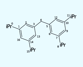 CC(C)c1cc(Cc2cc(C(C)C)cc(C(C)C)c2)cc(C(C)C)c1